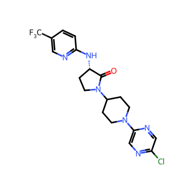 O=C1[C@@H](Nc2ccc(C(F)(F)F)cn2)CCN1C1CCN(c2cnc(Cl)cn2)CC1